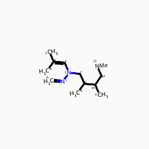 C=NN(C=C(C)C)CC(C)C(C)CNC